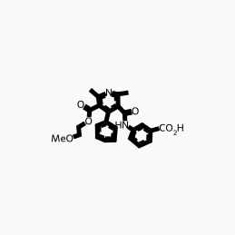 COCCOC(=O)c1c(C)nc(C)c(C(=O)Nc2cccc(C(=O)O)c2)c1-c1ccccc1